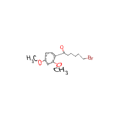 COc1ccc(C(=O)CCCCCBr)c(OC)c1